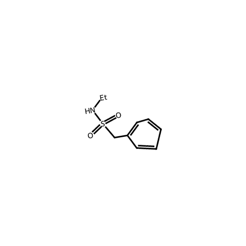 [CH2]CNS(=O)(=O)Cc1ccccc1